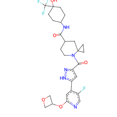 O=C(NC1CCC(O)(C(F)(F)F)CC1)C1CCN(C(=O)c2cc(-c3cc(OC4COC4)ncc3F)[nH]n2)C2(CC2)C1